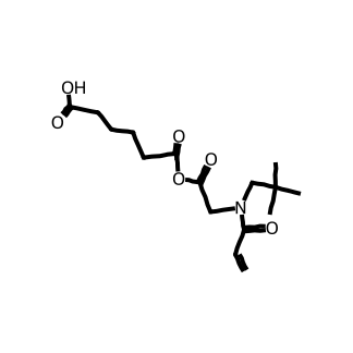 C=CC(=O)N(CC(=O)OC(=O)CCCCC(=O)O)CC(C)(C)C